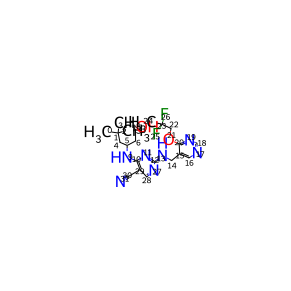 CC(C)(C)CC(CCO)Nc1nc(NCc2cncnc2OCC(C)(F)F)ncc1C#N